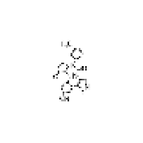 CN1C(=O)N(c2cccc(C(F)(F)F)c2)C2=C(C(=O)CC2)C1c1ccc(C#N)cc1-c1ccnn1C